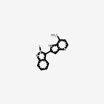 O=C(O)c1ccnc2cc(-c3c4ccccc4nn3I)[nH]c12